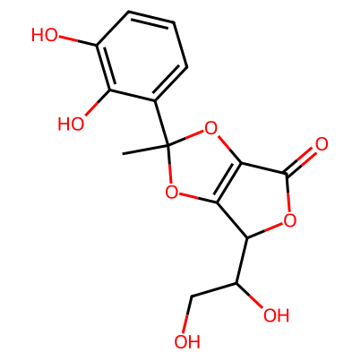 CC1(c2cccc(O)c2O)OC2=C(O1)C(C(O)CO)OC2=O